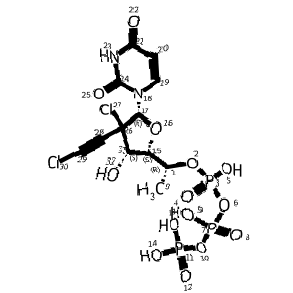 C[C@@H](OP(=O)(O)OP(=O)(O)OP(=O)(O)O)[C@H]1O[C@@H](n2ccc(=O)[nH]c2=O)C(Cl)(C#CCl)[C@H]1O